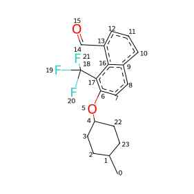 CC1CCC(Oc2ccc3cccc(C=O)c3c2C(F)(F)F)CC1